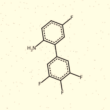 Nc1ccc(F)cc1-c1cc(F)c(F)c(F)c1